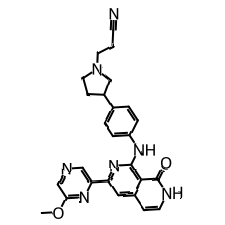 COc1cncc(-c2cc3cc[nH]c(=O)c3c(Nc3ccc(C4CCN(CCC#N)C4)cc3)n2)n1